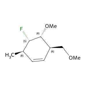 COC[C@H]1C=C[C@@H](C)[C@H](F)[C@@H]1OC